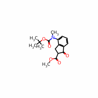 COC(=O)C1Cc2c(cccc2N(C)C(=O)OC(C)(C)C)C1=O